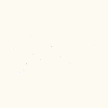 COc1ccc(CN(Cc2ccc(OC)cc2)c2cc(C)c(C(F)(F)F)c(-c3ncc4c(N5CCN(C(=O)OC(C)(C)C)[C@@H](CC#N)C5)nc(OC[C@@]56CCCN5C[C@H](F)C6)nc4c3F)n2)cc1